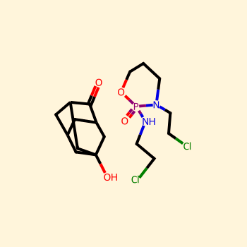 O=C1C2CC3CC1CC(O)(C3)C2.O=P1(NCCCl)OCCCN1CCCl